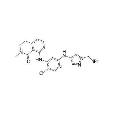 CC(C)Cn1cc(Nc2cc(Nc3cccc4c3C(=O)N(C)CC4)c(Cl)cn2)cn1